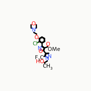 COC(=O)c1c(-c2cccc(OCCN3CCOCC3)c2Cl)noc1-c1cnn(CC(C)O)c1C(F)(F)F